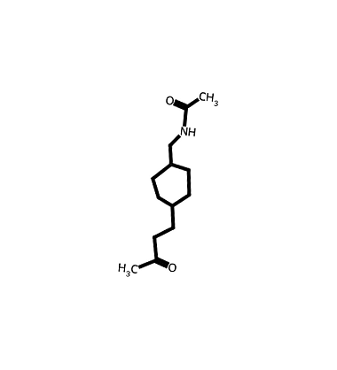 CC(=O)CCC1CCC(CNC(C)=O)CC1